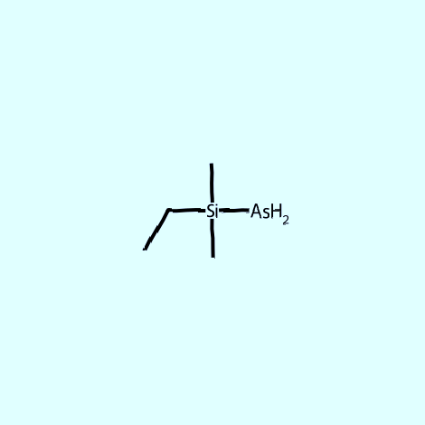 CC[Si](C)(C)[AsH2]